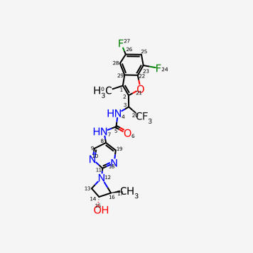 Cc1c(C(NC(=O)Nc2cnc(N3C[C@@H](O)[C@@H]3C)nc2)C(F)(F)F)oc2c(F)cc(F)cc12